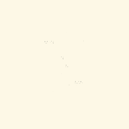 CNc1ccccc1N=Nc1ccccc1NC